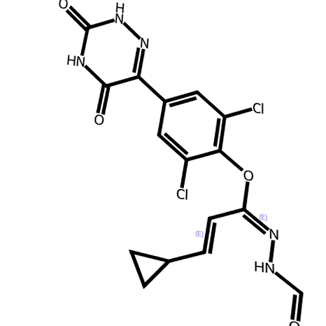 O=CN/N=C(\C=C\C1CC1)Oc1c(Cl)cc(-c2n[nH]c(=O)[nH]c2=O)cc1Cl